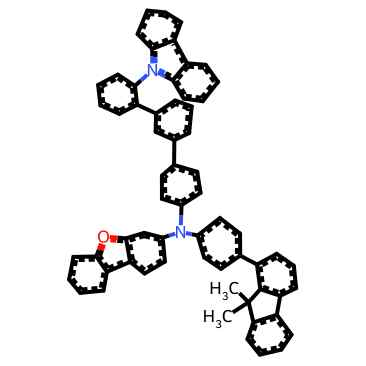 CC1(C)c2ccccc2-c2cccc(-c3ccc(N(c4ccc(-c5cccc(-c6ccccc6-n6c7ccccc7c7ccccc76)c5)cc4)c4ccc5c(c4)oc4ccccc45)cc3)c21